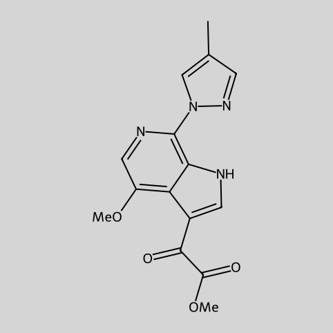 COC(=O)C(=O)c1c[nH]c2c(-n3cc(C)cn3)ncc(OC)c12